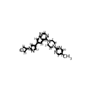 Cc1cnc(N2CCN(c3ncnn4cc(-c5cnn(C6COC6)c5)cc34)CC2)nc1